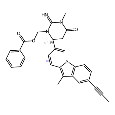 C=C(/C=C\c1sc2ccc(C#CC)cc2c1C)[C@]1(C)CC(=O)N(C)C(=N)N1COC(=O)c1ccccc1